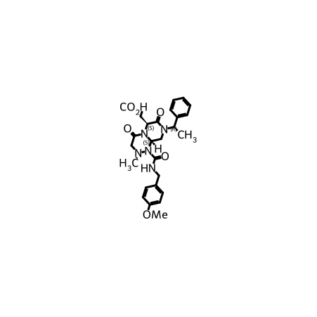 COc1ccc(CNC(=O)N2[C@H]3CN([C@H](C)c4ccccc4)C(=O)[C@H](CC(=O)O)N3C(=O)CN2C)cc1